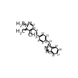 BN1N=CC(CCc2ccc(Cn3nnc4ccccc43)cc2)=C(C)C1=C